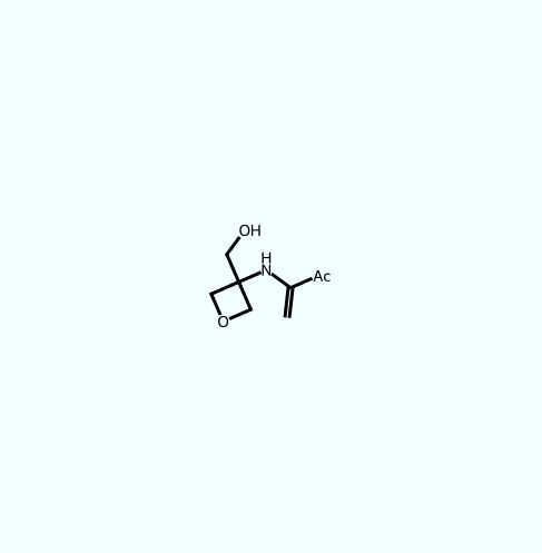 C=C(NC1(CO)COC1)C(C)=O